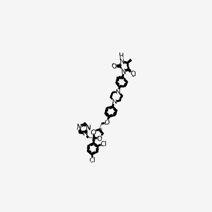 CC1NC(=O)N(c2ccc(N3CCN(c4ccc(OC[C@@H]5CO[C@@](Cn6cncn6)(c6ccc(Cl)cc6Cl)O5)cc4)CC3)cc2)C1=O